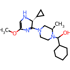 COC1=CN[C@H](C2CC2)C(N2CCN(C(O)C3CCCCC3)[C@H](C)C2)=N1